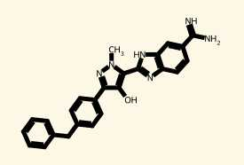 Cn1nc(-c2ccc(Cc3ccccc3)cc2)c(O)c1-c1nc2ccc(C(=N)N)cc2[nH]1